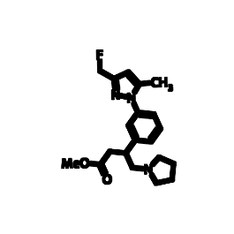 COC(=O)CC(CN1CCCC1)c1cccc(-n2nc(CF)cc2C)c1